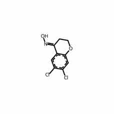 ON=C1CCOc2cc(Cl)c(Cl)cc21